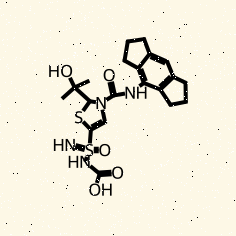 CC(C)(O)C1SC(S(=N)(=O)NC(=O)O)=CN1C(=O)Nc1c2c(cc3c1CCC3)CCC2